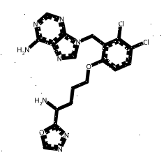 Nc1ncnc2c1ncn2Cc1c(OCCCC(N)c2nnco2)ccc(Cl)c1Cl